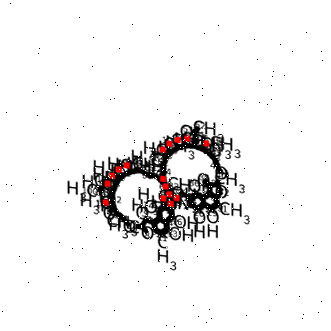 CO[C@H]1/C=C/O[C@@]2(C)Oc3c(C)c(O)c4c(O)c(c(/C=N\N=C\c5c6c(O)c7c(O)c(C)c8c(c7c5O)C(=O)[C@@](C)(O/C=C/[C@H](OC)[C@@H](C)[C@@H](OC(C)=O)[C@H](C)[C@H](O)[C@H](C)[C@@H](O)[C@@H](C)/C=C/C=C(C)\C(O)=N/6)O8)c(O)c4c3C2=O)\N=C(O)/C(C)=C\C=C\[C@H](C)[C@H](O)[C@@H](C)[C@@H](O)[C@@H](C)[C@H](OC(C)=O)[C@@H]1C